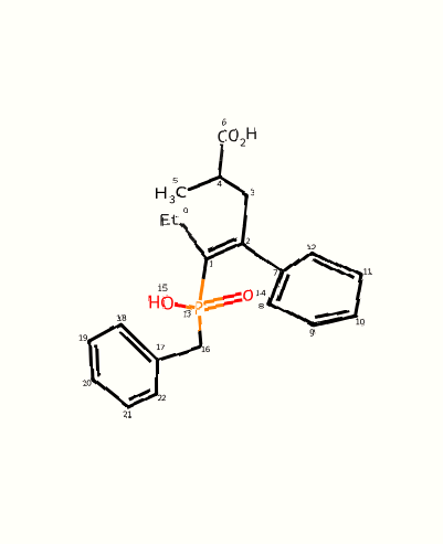 CCC(=C(CC(C)C(=O)O)c1ccccc1)P(=O)(O)Cc1ccccc1